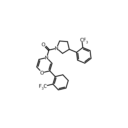 O=C(N1C=COC(C2=C(C(F)(F)F)C=CCC2)=C1)N1CCC(c2ccccc2C(F)(F)F)C1